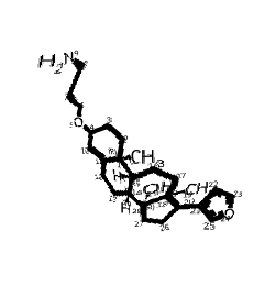 C[C@]12CCC(OCCCN)C=C1CC[C@@H]1[C@H]2CC[C@]2(C)C(c3ccoc3)CC[C@@]12O